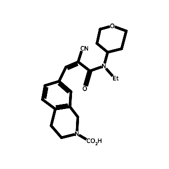 CCN(C(=O)C(C#N)=Cc1ccc2c(c1)CN(C(=O)O)CC2)C1CCOCC1